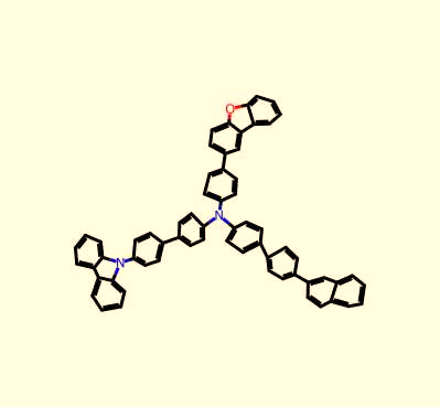 c1ccc2cc(-c3ccc(-c4ccc(N(c5ccc(-c6ccc(-n7c8ccccc8c8ccccc87)cc6)cc5)c5ccc(-c6ccc7oc8ccccc8c7c6)cc5)cc4)cc3)ccc2c1